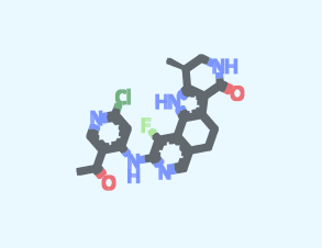 CC(=O)c1cnc(Cl)cc1Nc1ncc2c(c1F)-c1[nH]c3c(c1CC2)C(=O)NC[C@@H]3C